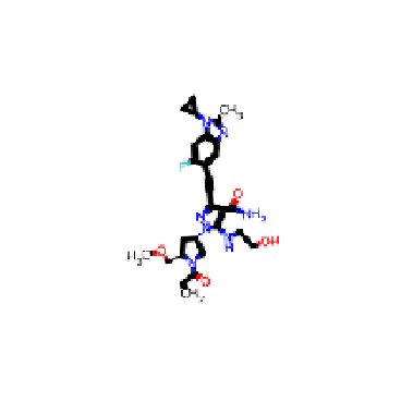 C=CC(=O)N1C[C@@H](n2nc(C#Cc3cc4nc(C)n(C5CC5)c4cc3F)c(C(N)=O)c2NCCO)C[C@@H]1COC